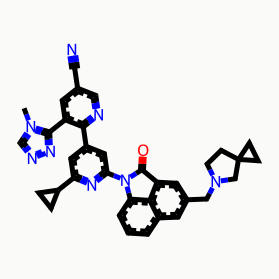 Cn1cnnc1-c1cc(C#N)cnc1-c1cc(C2CC2)nc(N2C(=O)c3cc(CN4CCC5(CC5)C4)cc4cccc2c34)c1